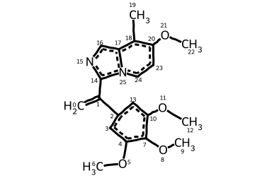 C=C(c1cc(OC)c(OC)c(OC)c1)c1ncc2c(C)c(OC)ccn12